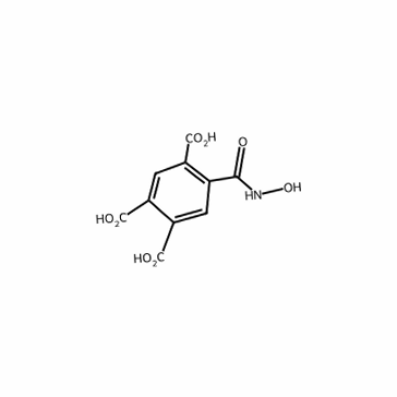 O=C(O)c1cc(C(=O)O)c(C(=O)NO)cc1C(=O)O